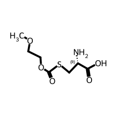 COCCOC(=O)SC[C@H](N)C(=O)O